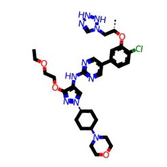 CCOCCOc1nn([C@H]2CC[C@H](N3CCOCC3)CC2)cc1Nc1ncc(-c2ccc(Cl)c(O[C@@H](C)CN3C=NNN3)c2)cn1